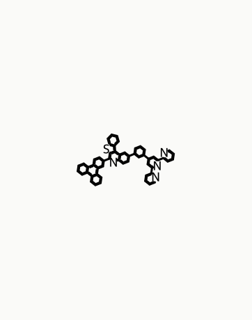 c1ccc(-c2cc(-c3cccc(-c4ccc5nc(-c6ccc7c8ccccc8c8ccccc8c7c6)c6sc7ccccc7c6c5c4)c3)cc(-c3ccccn3)n2)nc1